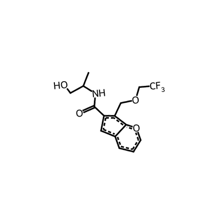 CC(CO)NC(=O)c1cc2cccoc-2c1COCC(F)(F)F